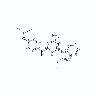 CCc1nn2ccccc2c1-c1nc(N)nc(Nc2ccc(OC(F)F)cc2)n1